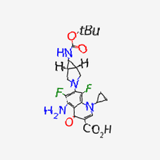 CC(C)(C)OC(=O)N[C@H]1[C@@H]2CN(c3c(F)c(N)c4c(=O)c(C(=O)O)cn(C5CC5)c4c3F)C[C@@H]21